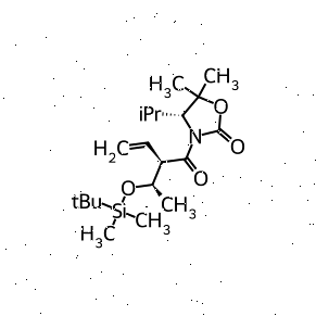 C=C[C@@H](C(=O)N1C(=O)OC(C)(C)[C@H]1C(C)C)[C@@H](C)O[Si](C)(C)C(C)(C)C